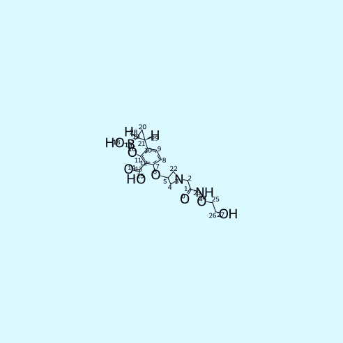 O=C(CN1CC(Oc2ccc3c(c2C(=O)O)OB(O)[C@@H]2C[C@H]32)C1)NOCCO